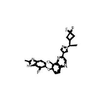 Cc1nc2ccc(Oc3ccc4ncc(-c5cnn(C(C)C6CC(F)(F)C6)c5)nc4c3Cl)c(F)c2[nH]1